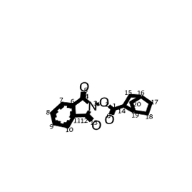 O=C(ON1C(=O)c2ccccc2C1=O)C1CC2CCC1C2